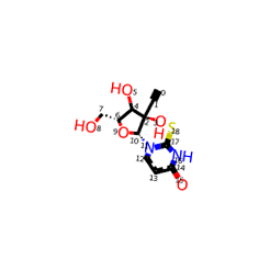 C#C[C@@]1(O)C(O)[C@@H](CO)O[C@H]1n1ccc(=O)[nH]c1=S